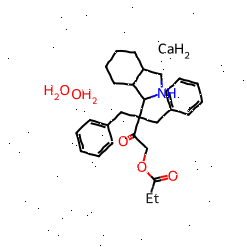 CCC(=O)OCC(=O)C(Cc1ccccc1)(Cc1ccccc1)C1NCC2CCCCC21.O.O.[CaH2]